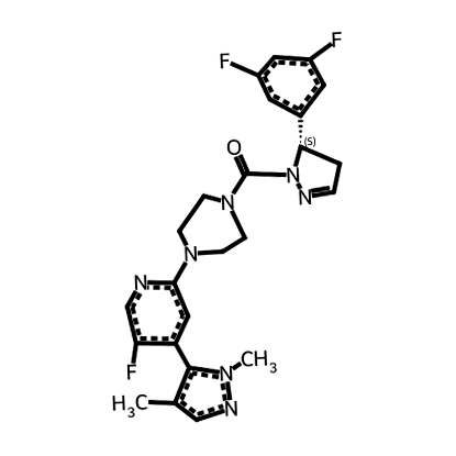 Cc1cnn(C)c1-c1cc(N2CCN(C(=O)N3N=CC[C@H]3c3cc(F)cc(F)c3)CC2)ncc1F